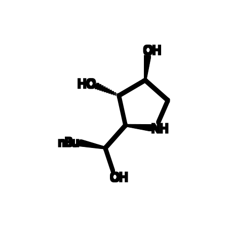 CCCC[C@H](O)[C@@H]1NC[C@H](O)[C@H]1O